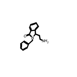 NCCC1c2ccccc2C(=O)N1Cc1ccccc1